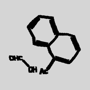 CC(=O)c1cccc2ccccc12.O=CO